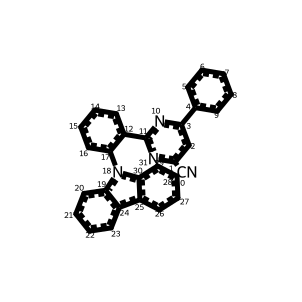 N#Cc1cc(-c2ccccc2)nc(-c2ccccc2-n2c3ccccc3c3ccccc32)n1